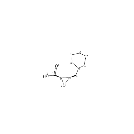 O=C(O)[C@@H]1O[C@@H]1CC1CCCCC1